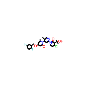 Cc1cnc(-n2ccc(Cl)c(C(C)(C)O)c2=O)cc1-n1c(C)cc(OCc2cc(F)ccc2F)cc1=O